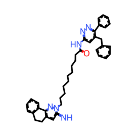 N=c1cc2c(nn1CCCCCCCCCCC(=O)Nc1cc(Cc3ccccc3)c(-c3ccccc3)nn1)-c1ccccc1CC2